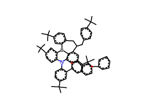 CC(C)(C)c1ccc(CC2Cc3ccc(C(C)(C)C)cc3B3c4cc(C(C)(C)C)ccc4N(c4ccc(C(C)(C)C)cc4-c4ccc(C(C)(C)C)cc4)c4cc(-c5cccc(-c6ccccc6)c5)cc2c43)cc1